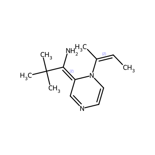 C/C=C(/C)N1C=CN=C/C1=C(/N)C(C)(C)C